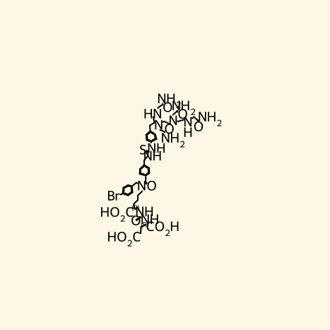 NC(=O)CNCCN(CCN(CC(N)=O)C(CNCC(N)=O)Cc1ccc(NC(=S)NCc2ccc(C(=O)N(CCCC[C@@H](NC(=O)N[C@H](CCC(=O)O)C(=O)O)C(=O)O)Cc3ccc(Br)cc3)cc2)cc1)CC(N)=O